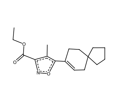 CCOC(=O)c1noc(C2=CCC3(CCCC3)CC2)c1C